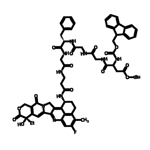 CC[C@@]1(O)C(=O)OCc2c1cc1n(c2=O)Cc2c-1nc1cc(F)c(C)c3c1c2[C@@H](NC(=O)CCNC(=O)CNC(=O)[C@H](Cc1ccccc1)NC(=O)CNC(=O)CNC(=O)C(CC(=O)OC(C)(C)C)NC(=O)OCC1c2ccccc2-c2ccccc21)CC3